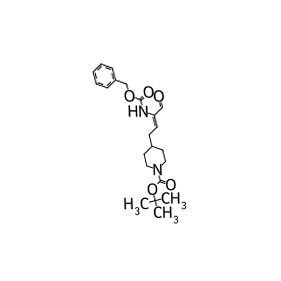 CC(C)(C)OC(=O)N1CCC(C/C=C(/C=O)NC(=O)OCc2ccccc2)CC1